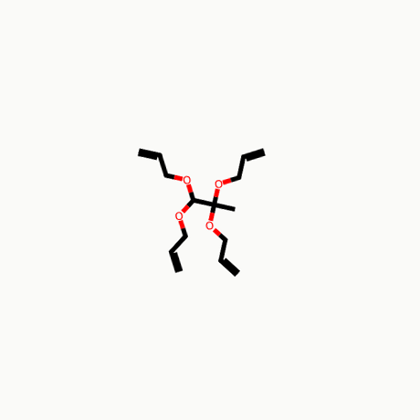 C=CCOC(OCC=C)C(C)(OCC=C)OCC=C